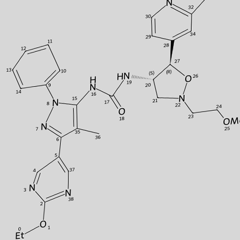 CCOc1ncc(-c2nn(-c3ccccc3)c(NC(=O)N[C@H]3CN(CCOC)O[C@@H]3c3ccnc(F)c3)c2C)cn1